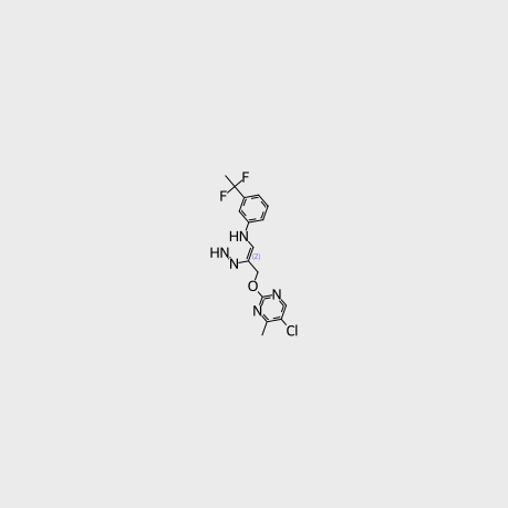 Cc1nc(OC/C(=C/Nc2cccc(C(C)(F)F)c2)N=N)ncc1Cl